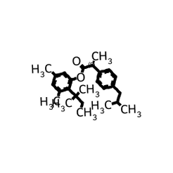 CCC(C)(C)c1c(C)cc(C)cc1OC(=O)[C@@H](C)c1ccc(CC(C)C)cc1